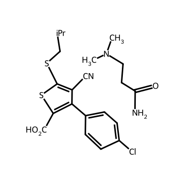 CC(C)CSc1sc(C(=O)O)c(-c2ccc(Cl)cc2)c1C#N.CN(C)CCC(N)=O